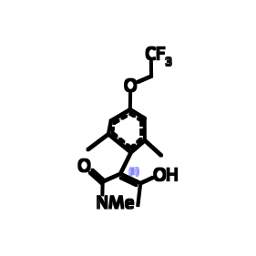 CNC(=O)/C(=C(\C)O)c1c(C)cc(OCC(F)(F)F)cc1C